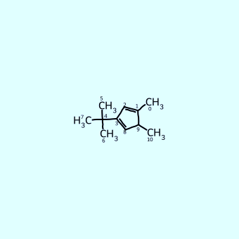 CC1=CC(C(C)(C)C)=CC1C